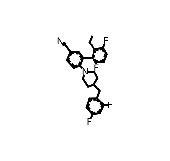 CCc1c(F)ccc(F)c1-c1cc(C#N)ccc1N1CCC(Cc2ccc(F)cc2F)CC1